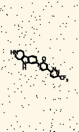 O=c1cc(-c2ccc(C(F)(F)F)nn2)ccn1-c1ccc2c3c([nH]c2c1)CCNCC3